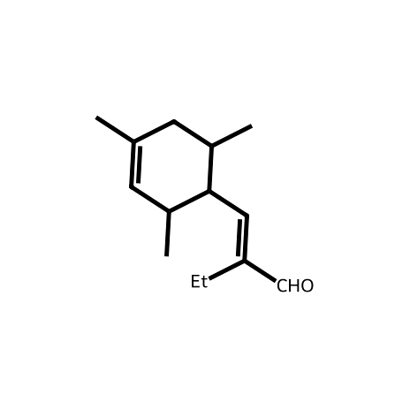 CC/C(C=O)=C\C1C(C)C=C(C)CC1C